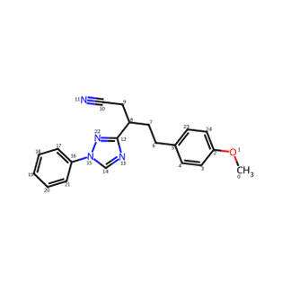 COc1ccc(CCC(CC#N)c2ncn(-c3ccccc3)n2)cc1